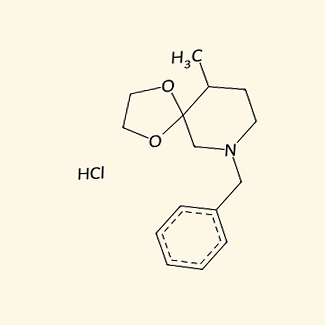 CC1CCN(Cc2ccccc2)CC12OCCO2.Cl